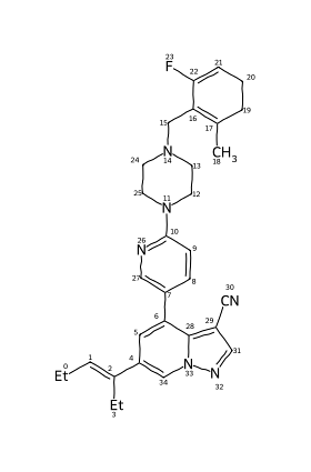 CC/C=C(\CC)c1cc(-c2ccc(N3CCN(CC4=C(C)CCC=C4F)CC3)nc2)c2c(C#N)cnn2c1